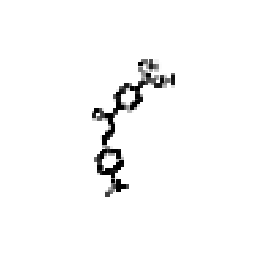 CN(C)c1ccc(C=CC(=O)c2ccc(B(O)O)cc2)cc1